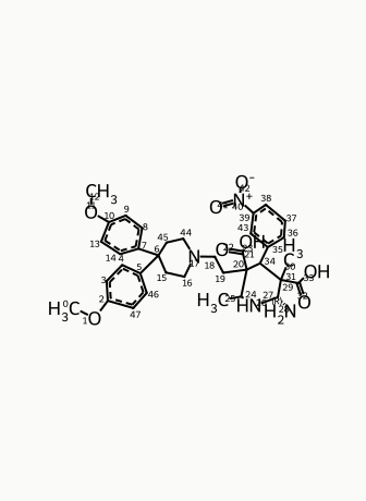 COc1ccc(C2(c3ccc(OC)cc3)CCN(CCC3(C(=O)O)C(C)N[C@@H](N)C(C)(C(=O)O)C3c3cccc([N+](=O)[O-])c3)CC2)cc1